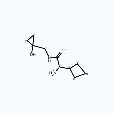 N[C@@H](C(=O)NCC1(O)CC1)C1CCC1